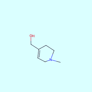 CN1CC=C(CO)CC1